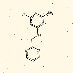 Nc1nc(N)nc(NCc2ncccn2)n1